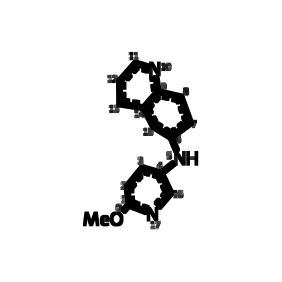 COc1ccc(Nc2ccc3ncccc3c2)cn1